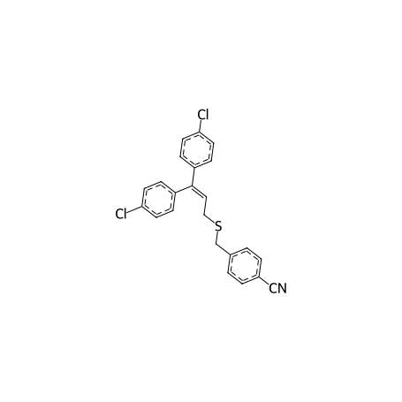 N#Cc1ccc(CSCC=C(c2ccc(Cl)cc2)c2ccc(Cl)cc2)cc1